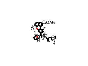 COCOc1cc(-c2c([N+](=O)[O-])cc3c(N4C[C@H]5CC[C@@H](C4)N5C(=O)O)nc(OCC4(CC5CNCCO5)CC4)nc3c2F)c2c(F)c(F)ccc2c1